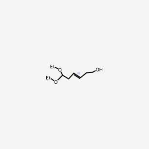 CCOC(C/C=C/CCO)OCC